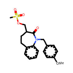 COc1ccc(CN2C(=O)C(COS(C)(=O)=O)CCc3ccccc32)cc1